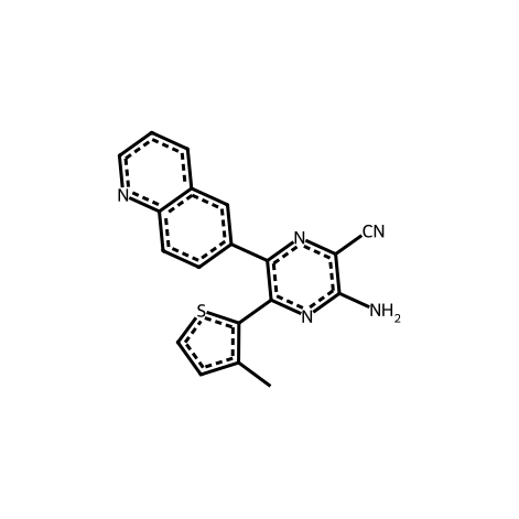 Cc1ccsc1-c1nc(N)c(C#N)nc1-c1ccc2ncccc2c1